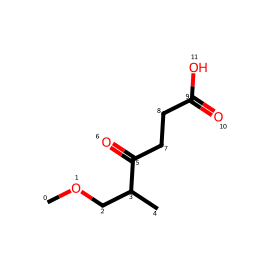 COCC(C)C(=O)CCC(=O)O